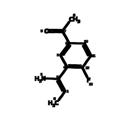 C/C=C(\N)c1cc(C(C)=O)ccc1F